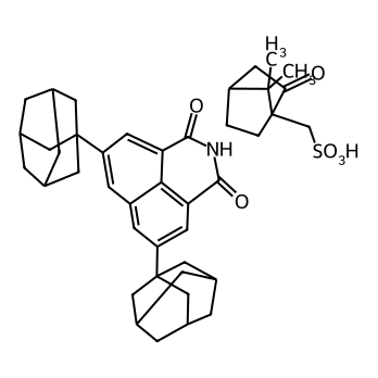 CC1(C)C2CCC1(CS(=O)(=O)O)C(=O)C2.O=C1NC(=O)c2cc(C34CC5CC(CC(C5)C3)C4)cc3cc(C45CC6CC(CC(C6)C4)C5)cc1c23